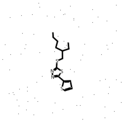 CCCCC(CC)CSc1nnc(-c2cccs2)s1